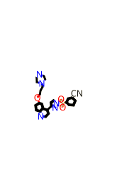 CN1CCN(CCCOc2ccc3nccc(-c4ccn(S(=O)(=O)c5cccc(C#N)c5)n4)c3c2)CC1